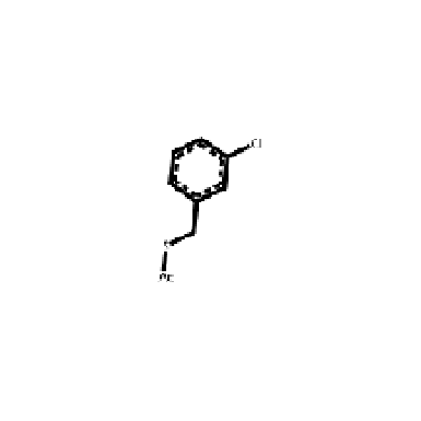 CC(=O)SCc1cccc(Cl)c1